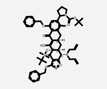 C=CCN(CC=C)[C@@H]1c2onc(OCc3ccccc3)c2C(=O)[C@@]2(O[Si](C)(C)C(C)(C)C)C(O)=C3C(=O)c4c(OCc5ccccc5)cc(C5CCCN5C(=O)OC(C)(C)C)c(F)c4C[C@H]3C[C@@H]12